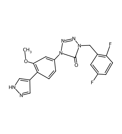 COc1cc(-n2nnn(Cc3cc(F)ccc3F)c2=O)ccc1-c1cn[nH]c1